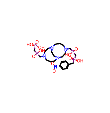 O=[N+]([O-])c1ccc(CP(=O)(O)CP(=O)(O)CN2CCCN3CCN(CCCN(CP(=O)(O)CP(=O)(O)O)CC3)CC2)cc1